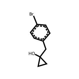 OC1(Cc2ccc(Br)cc2)CC1